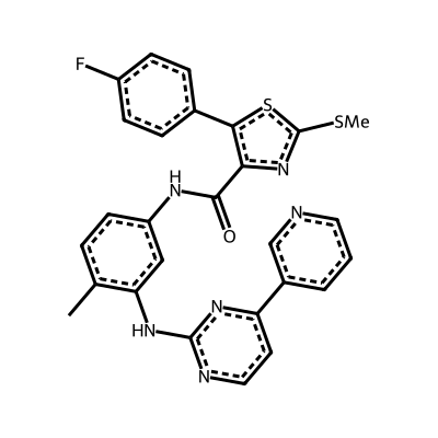 CSc1nc(C(=O)Nc2ccc(C)c(Nc3nccc(-c4cccnc4)n3)c2)c(-c2ccc(F)cc2)s1